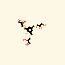 OCC(O)CSCc1cc(CSCC(O)CO)c(O)c(CSCC(O)CO)c1